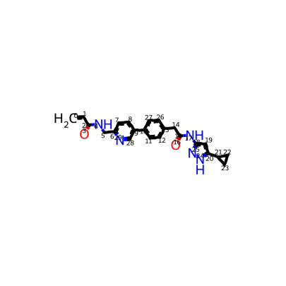 C=CC(=O)NCc1ccc(-c2ccc(CC(=O)Nc3cc(C4CC4)[nH]n3)cc2)cn1